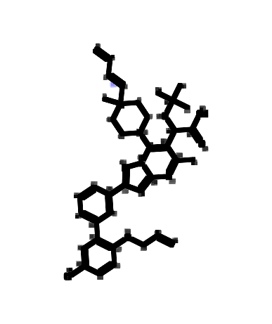 C=C/C=C/C1(C)CCN(c2c(C(OC(C)(C)C)C(=O)O)c(C)nc3cc(-c4cccc(-c5cc(Cl)ccc5OCC=C)c4)nn23)CC1